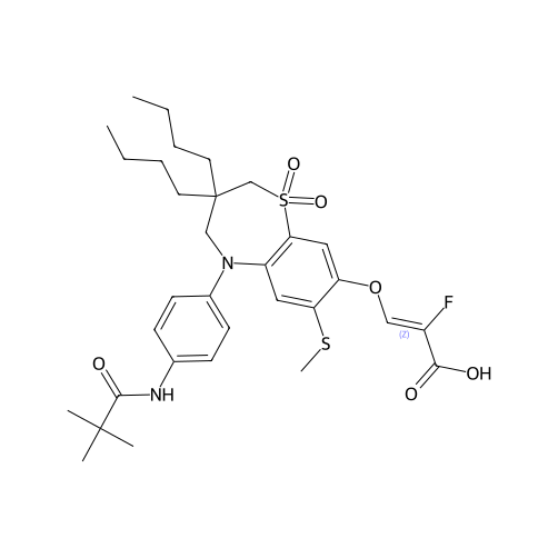 CCCCC1(CCCC)CN(c2ccc(NC(=O)C(C)(C)C)cc2)c2cc(SC)c(O/C=C(\F)C(=O)O)cc2S(=O)(=O)C1